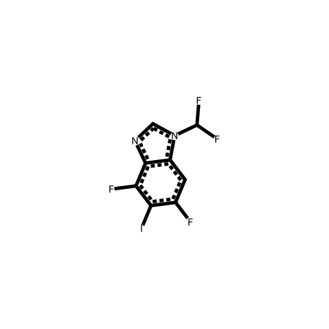 Fc1cc2c(ncn2C(F)F)c(F)c1I